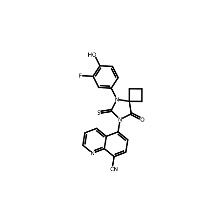 N#Cc1ccc(N2C(=O)C3(CCC3)N(c3ccc(O)c(F)c3)C2=S)c2cccnc12